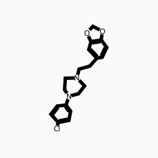 Clc1ccc(N2CCN(CCc3ccc4c(c3)OCO4)CC2)cc1